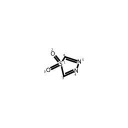 O=S1(=O)[C]=NN=C1